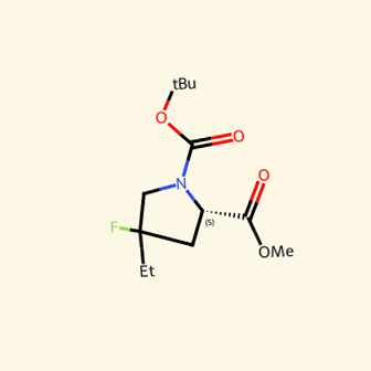 CCC1(F)C[C@@H](C(=O)OC)N(C(=O)OC(C)(C)C)C1